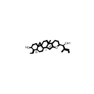 C/C=C1\C(O)CCC23CC24CCC2(C)[C@H]5CCC([C@@H](O)/C(C)=C/C)OC5C[C@@]2(C)C4CC[C@@H]13